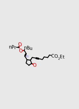 CCCCC(/C=C/C1CCC(=O)C1CC#CCCCCC(=O)OCC)OC(=O)CCC